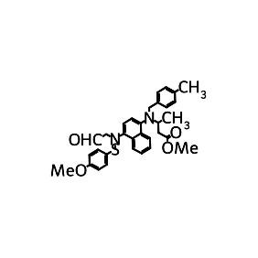 COC(=O)CC(C)N(Cc1ccc(C)cc1)c1ccc(N(CC=O)Sc2ccc(OC)cc2)c2ccccc12